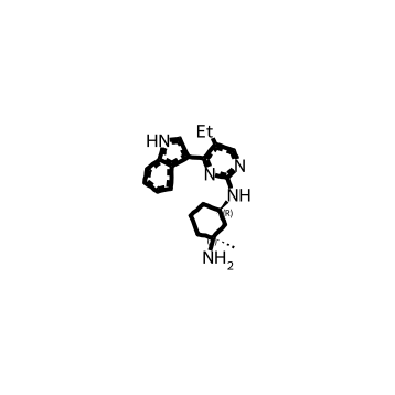 CCc1cnc(N[C@@H]2CCC[C@](C)(N)C2)nc1-c1c[nH]c2ccccc12